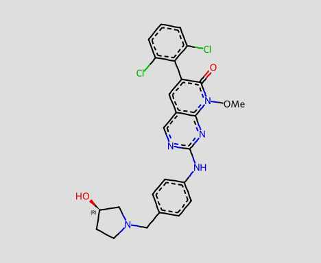 COn1c(=O)c(-c2c(Cl)cccc2Cl)cc2cnc(Nc3ccc(CN4CC[C@@H](O)C4)cc3)nc21